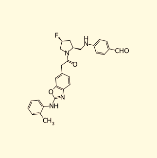 Cc1ccccc1Nc1nc2ccc(CC(=O)N3C[C@@H](F)C[C@H]3CNc3ccc(C=O)cc3)cc2o1